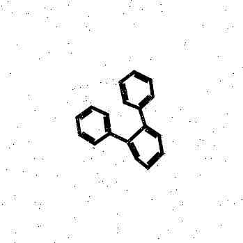 [c]1[c]cc(-c2ccccc2)c(-c2ccccc2)[c]1